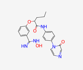 CCCC(Oc1cccc(C(=N)NO)c1)C(=O)Nc1ccc(-n2ccncc2=O)cc1